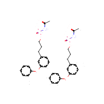 CC(=O)NP(=O)([O-])OCCCc1cccc(Oc2ccccc2)c1.CC(=O)NP(=O)([O-])OCCCc1cccc(Oc2ccccc2)c1.[K+].[K+]